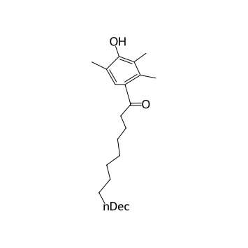 CCCCCCCCCCCCCCCCCC(=O)c1cc(C)c(O)c(C)c1C